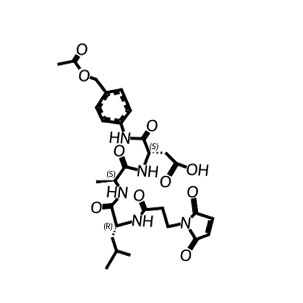 CC(=O)OCc1ccc(NC(=O)[C@H](CC(=O)O)NC(=O)[C@H](C)NC(=O)[C@@H](CC(C)C)NC(=O)CCN2C(=O)C=CC2=O)cc1